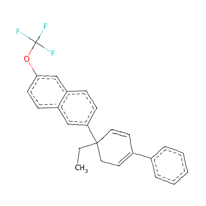 CCC1(c2ccc3cc(OC(F)(F)F)ccc3c2)C=CC(c2ccccc2)=CC1